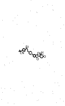 CCN(CCC1CCN(c2ccc3c(c2)C(=O)N(C2CCC(=O)NC2=O)C3=O)CC1)c1ccc(C2(C#N)CC2)cc1